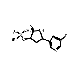 CC(C)(C)[Si](C)(C)OC1CC(c2cncc(F)c2)NC1=S